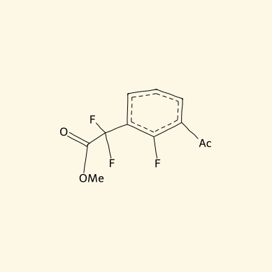 COC(=O)C(F)(F)c1cccc(C(C)=O)c1F